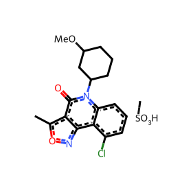 COC1CCCC(n2c(=O)c3c(C)onc3c3c(Cl)cccc32)C1.CS(=O)(=O)O